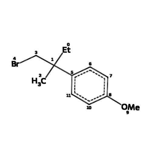 CCC(C)(CBr)c1ccc(OC)cc1